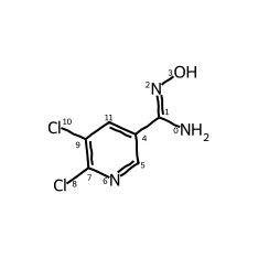 N/C(=N\O)c1cnc(Cl)c(Cl)c1